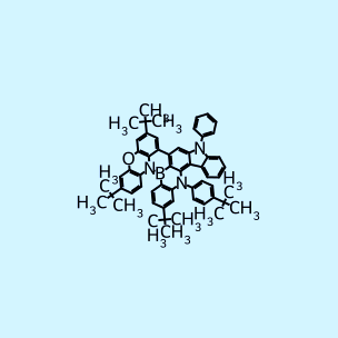 CC(C)(C)c1ccc(N2c3cc(C(C)(C)C)ccc3B3c4c(cc5c(c42)c2ccccc2n5-c2ccccc2)-c2cc(C(C)(C)C)cc4c2N3c2ccc(C(C)(C)C)cc2O4)cc1